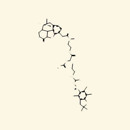 Cc1c(C)c(S(=O)(=O)/N=C(\N)NCCC[C@H](NC(=O)OC(C)(C)C)C(=O)NCCN(C)C(=O)Cc2ccc3c4c2O[C@H]2C(=O)CCC5[C@@H](C3)N(C)CC[C@@]452)c(C)c2c1OC(C)(C)C2